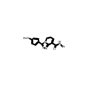 COc1ccc(-c2nnc3c(C(=O)NC(C)C)cccn23)cc1